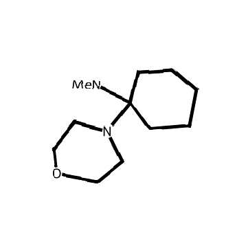 CNC1(N2CCOCC2)CCCCC1